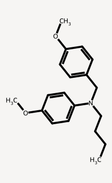 CCCCN(Cc1ccc(OC)cc1)c1ccc(OC)cc1